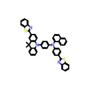 CC1(C)c2ccccc2N(c2ccc(N(c3ccc(-c4nc5ccccc5s4)cc3)c3cccc4ccccc34)cc2)c2ccc(-c3nc4ccccc4s3)cc21